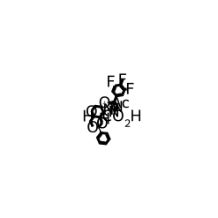 CC(=O)O[C@H]1CO[C@@H]2CO[C@H](c3ccccc3)O[C@@H]2[C@@]1(C(=O)O)n1cc(-c2cc(F)c(F)c(F)c2)nn1